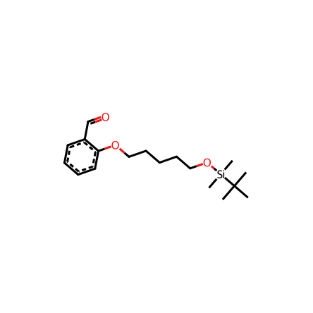 CC(C)(C)[Si](C)(C)OCCCCCOc1ccccc1C=O